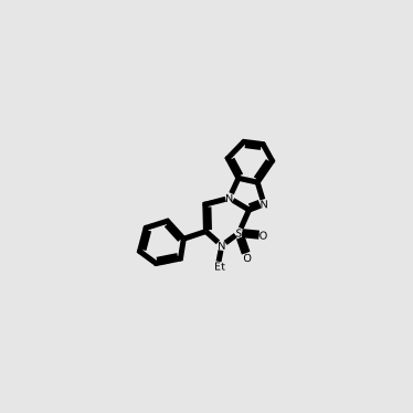 CCN1C(c2ccccc2)=Cn2c(nc3ccccc32)S1(=O)=O